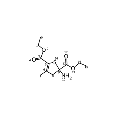 CCOC(=O)C1=C(C)CC(N)(C(=O)OCC)S1